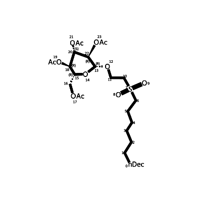 CCCCCCCCCCCCCCCCS(=O)(=O)CCO[C@@H]1O[C@H](COC(C)=O)[C@@H](OC(C)=O)[C@H](OC(C)=O)[C@H]1OC(C)=O